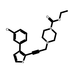 CCOC(=O)N1CCN(CC#Cc2sccc2-c2cccc(Cl)c2)CC1